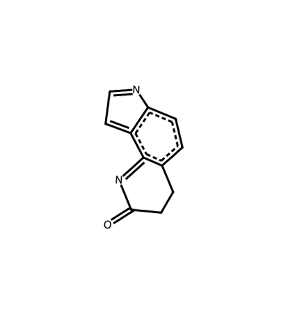 O=C1CCc2ccc3c(c2=N1)=CC=N3